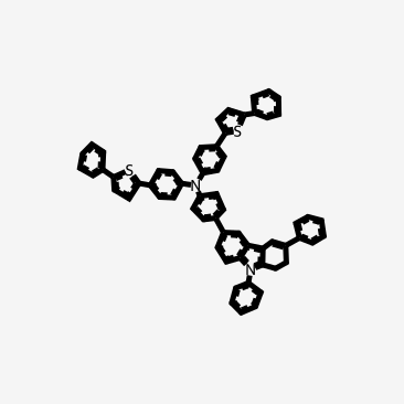 C1=C(c2ccccc2)CCc2c1c1cc(-c3ccc(N(c4ccc(-c5ccc(-c6ccccc6)s5)cc4)c4ccc(-c5ccc(-c6ccccc6)s5)cc4)cc3)ccc1n2-c1ccccc1